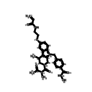 C=CC(=O)NCCOc1ccc2c(c1)c1c(n2Cc2ccc(C(=O)NO)cc2)CN(C(=O)N(C)C(C)=O)CC1C